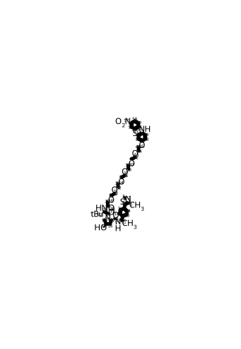 Cc1ncsc1-c1ccc([C@H](C)NC(=O)[C@@H]2C[C@@H](O)CN2C(=O)[C@@H](NC(=O)COCCOCCOCCOCCOCCOCCOc2ccc3c(c2)Sc2cc([N+](=O)[O-])ccc2N3)C(C)(C)C)cc1